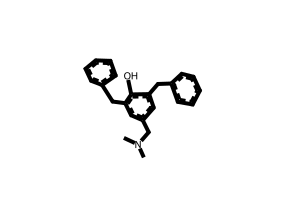 CN(C)Cc1cc(Cc2ccccc2)c(O)c(Cc2ccccc2)c1